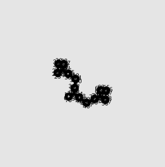 c1ccc(N(c2ccc(-c3cccc(-c4ccc(N(c5ccccc5)c5cccc6ccccc56)cc4)c3)cc2)c2ccc(-c3cccc(-c4ccc(N(c5ccccc5)c5cccc6ccccc56)cc4)c3)cc2)cc1